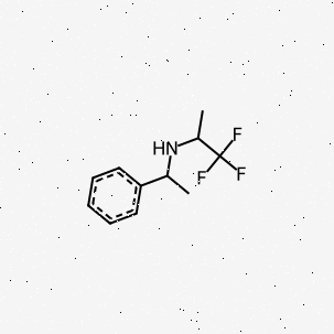 CC(NC(C)C(F)(F)F)c1ccccc1